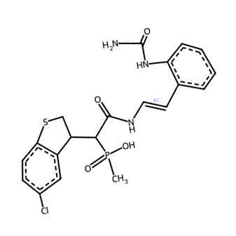 CP(=O)(O)C(C(=O)N/C=C/c1ccccc1NC(N)=O)C1CSc2ccc(Cl)cc21